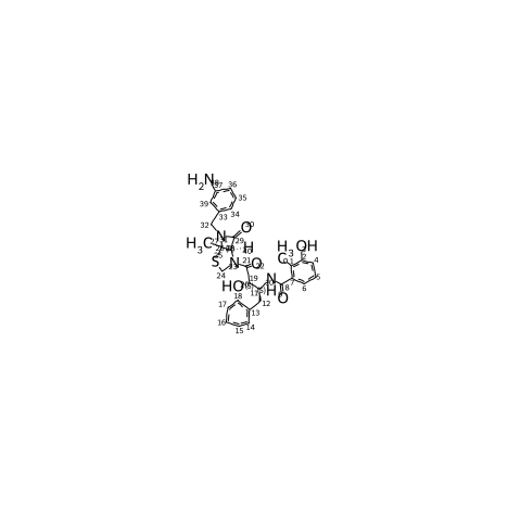 Cc1c(O)cccc1C(=O)N[C@@H](Cc1ccccc1)[C@H](O)C(=O)N1CSC2(C)[C@H]1C(=O)N2Cc1cccc(N)c1